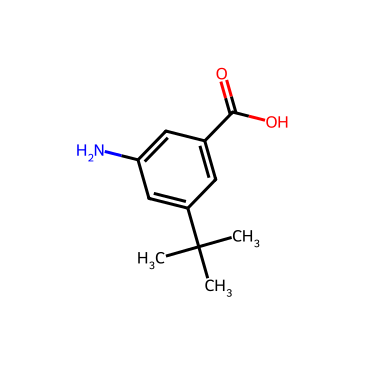 CC(C)(C)c1cc(N)cc(C(=O)O)c1